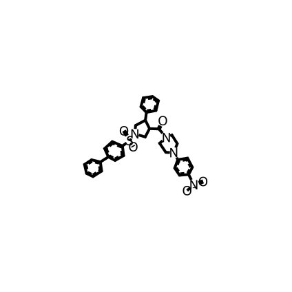 O=C(C1CN(S(=O)(=O)c2ccc(-c3ccccc3)cc2)CC1c1ccccc1)N1CCN(c2ccc([N+](=O)[O-])cc2)CC1